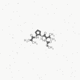 COC(=O)NC(C(=O)NC1CCCC1NC(=O)C(C)C)C(C)C